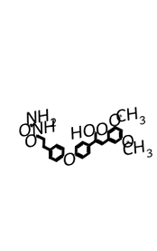 COc1cc(C=C(C(=O)O)c2ccc(Oc3ccc(CCC(=O)NC(N)=O)cc3)cc2)cc(OC)c1